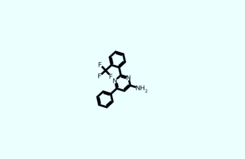 Nc1cc(-c2ccccc2)nc(-c2ccccc2C(F)(F)F)n1